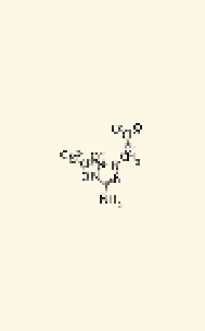 Cn1nnc(N)n1.[Cu+2].[O-][Cl+2]([O-])[O-].[O-][Cl+2]([O-])[O-]